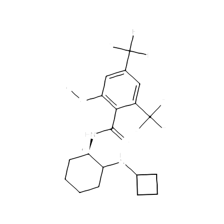 COc1cc(C(F)(F)F)cc(C(F)(F)F)c1C(=O)N[C@@H]1CCCCC1NC1CCC1